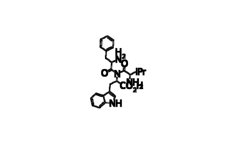 CC(C)C(N)C(=O)N(C(=O)C(N)Cc1ccccc1)C(Cc1c[nH]c2ccccc12)C(=O)O